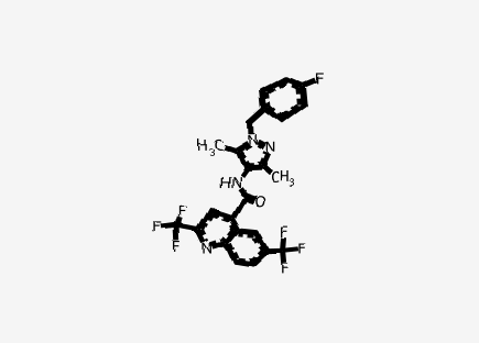 Cc1nn(Cc2ccc(F)cc2)c(C)c1NC(=O)c1cc(C(F)(F)F)nc2ccc(C(F)(F)F)cc12